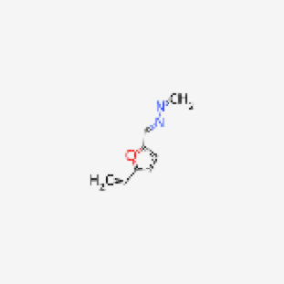 C=Cc1ccc(C=NN=C)o1